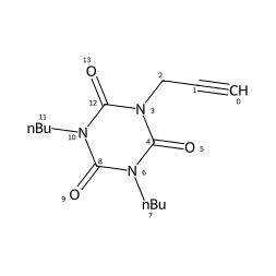 C#CCn1c(=O)n(CCCC)c(=O)n(CCCC)c1=O